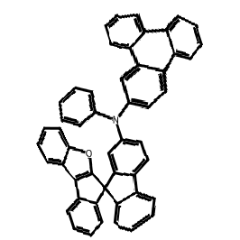 c1ccc(N(c2ccc3c(c2)C2(c4ccccc4-3)c3ccccc3-c3c2oc2ccccc32)c2ccc3c4ccccc4c4ccccc4c3c2)cc1